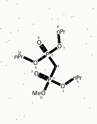 CCCOP(=O)(CP(=O)(OCCC)OCCC)OC